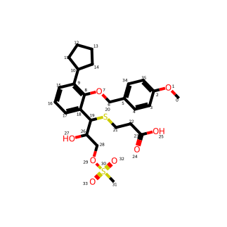 COc1ccc(COc2c(C3CCCC3)cccc2C(SCCC(=O)O)C(O)COS(C)(=O)=O)cc1